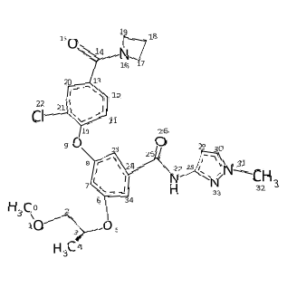 COC[C@H](C)Oc1cc(Oc2ccc(C(=O)N3CCC3)cc2Cl)cc(C(=O)Nc2ccn(C)n2)c1